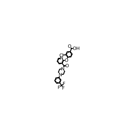 O=C(O)c1ccc(Oc2ncccc2C(=O)N2CCN(c3cccc(C(F)(F)F)c3)CC2)c(Cl)c1